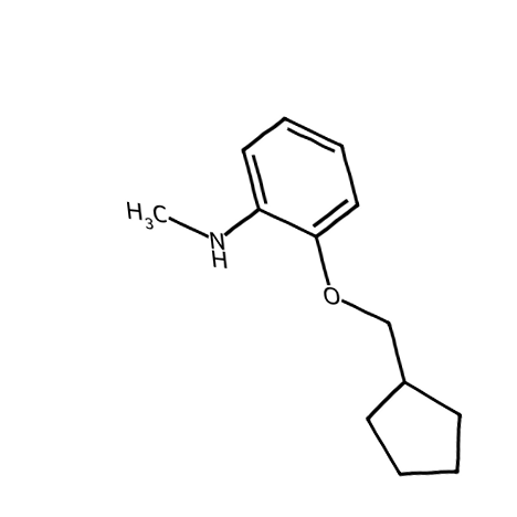 CNc1ccccc1OCC1CCCC1